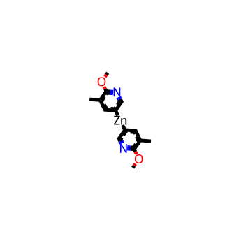 COc1nc[c]([Zn][c]2cnc(OC)c(C)c2)cc1C